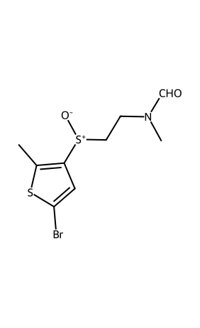 Cc1sc(Br)cc1[S+]([O-])CCN(C)C=O